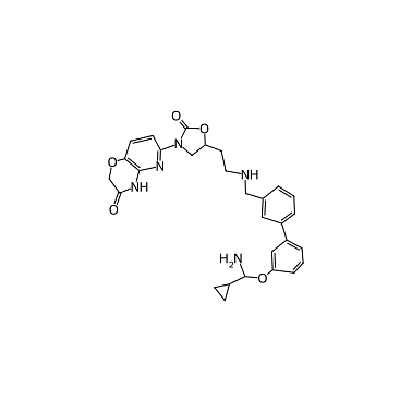 NC(Oc1cccc(-c2cccc(CNCCC3CN(c4ccc5c(n4)NC(=O)CO5)C(=O)O3)c2)c1)C1CC1